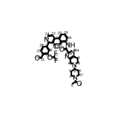 CC(=O)N1CCC(N2CCc3c(nc(C(=O)Nc4cccc(-c5ccnc(-c6ccc(C=O)c(OC(F)F)c6)c5Cl)c4Cl)n3C)C2)CC1